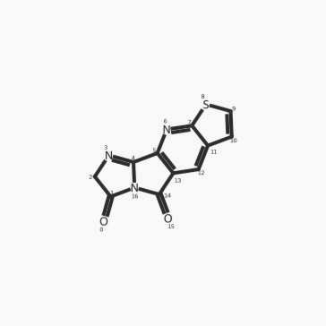 O=C1CN=C2c3nc4sccc4cc3C(=O)N12